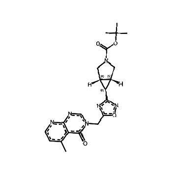 Cc1ccnc2ncn(Cc3nc([C@H]4[C@@H]5CN(C(=O)OC(C)(C)C)C[C@@H]54)no3)c(=O)c12